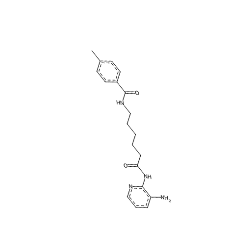 Cc1ccc(C(=O)NCCCCCC(=O)Nc2ncccc2N)cc1